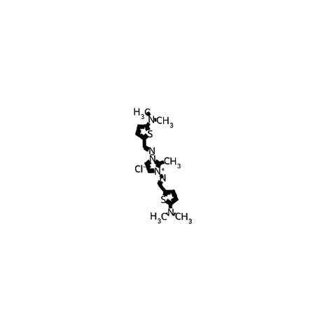 Cc1n(N=Cc2ccc(N(C)C)s2)cc[n+]1N=Cc1ccc(N(C)C)s1.[Cl-]